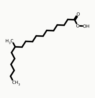 CCCCCCC(C)CCCCCCCCCCC(=O)OO